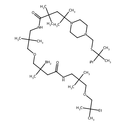 BC(C)(COCC(C)(C)CNC(=O)C(C)(C)CC(C)(C)N1CCN(CSC(C)(C)C(C)C)CC1)CC(=O)NCC(C)(C)COCC(C)(C)CC